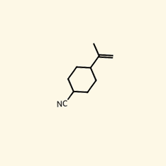 C=C(C)C1CCC(C#N)CC1